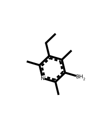 Bc1c(C)nc(C)c(CC)c1C